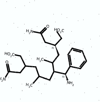 CC(CC(CC(N)=O)CC(=O)O)CC(C(C)C[C@@H](CC(N)=O)CC(=O)O)[C@H](N)c1ccccc1